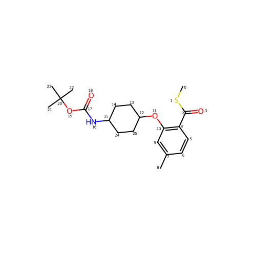 CSC(=O)c1ccc(C)cc1OC1CCC(NC(=O)OC(C)(C)C)CC1